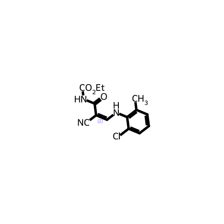 CCOC(=O)NC(=O)/C(C#N)=C\Nc1c(C)cccc1Cl